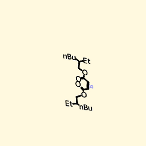 CCCCC(CC)COC(=O)/C=C\C(=O)OCC(CC)CCCC